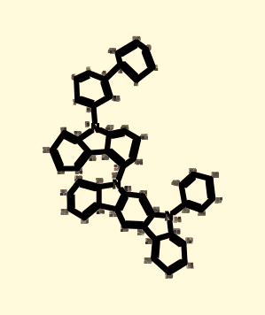 c1ccc(-c2cccc(-n3c4ccccc4c4c(-n5c6ccccc6c6cc7c8ccccc8n(-c8ccccc8)c7cc65)cccc43)c2)cc1